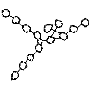 c1ccc(-c2ccc(-c3ccc(-c4ccc5c(c4)c4cc(-c6ccc(-c7ccc(-c8ccccc8)cc7)cc6)ccc4n5-c4ccc5c(c4)C(c4ccccc4)(c4ccccc4)c4cc(-c6ccc(-c7ccccc7)cc6)ccc4-5)cc3)cc2)cc1